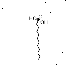 O=P(O)(O)CCCCCCCCCCI